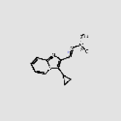 CC(C)(C)[S@+]([O-])/N=C/c1nc2ccccn2c1C1CC1